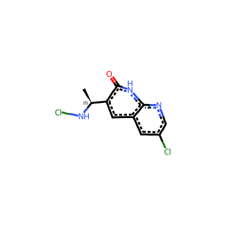 C[C@H](NCl)c1cc2cc(Cl)cnc2[nH]c1=O